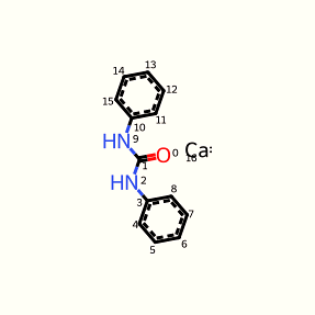 O=C(Nc1ccccc1)Nc1ccccc1.[Ca]